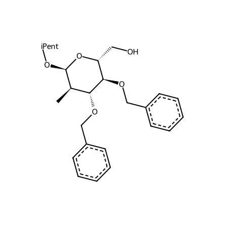 CCCC(C)O[C@H]1O[C@H](CO)[C@@H](OCc2ccccc2)[C@H](OCc2ccccc2)[C@H]1C